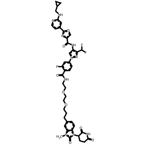 Cn1c(=O)n(C2CCC(=O)NC2=O)c2ccc(CCCOCCOCCNC(=O)c3ccc(-n4cc(NC(=O)c5coc(-c6ccnc(NCC7CC7)c6)n5)c(C(F)F)n4)cc3F)cc21